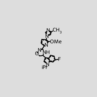 COc1nc(C2=NOCC(c3cn(C(C)C)c4cc(F)ccc34)N2)ccc1-n1cnc(C)c1